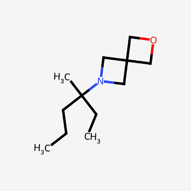 CCCC(C)(CC)N1CC2(COC2)C1